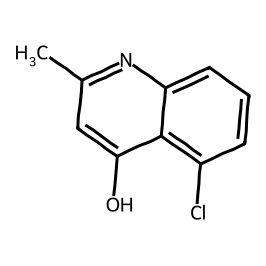 Cc1cc(O)c2c(Cl)cccc2n1